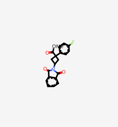 COC(=O)C1(c2ccc(F)cc2)CC(N2C(=O)c3ccccc3C2=O)C1